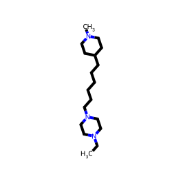 CCN1CCN(CCCCCCC2CCN(C)CC2)CC1